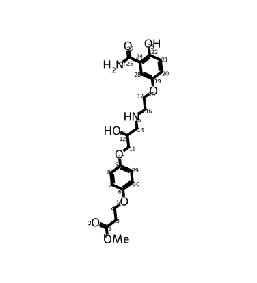 COC(=O)CCOc1ccc(OCC(O)CNCCOc2ccc(O)c(C(N)=O)c2)cc1